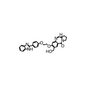 O=C1c2cc(CO)c(OCCOc3ccc(-c4nc5ccccc5[nH]4)cc3)cc2N=C[C@@H]2CCCN12